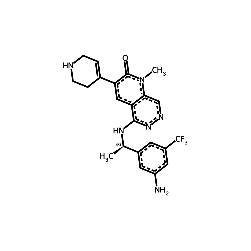 C[C@@H](Nc1nncc2c1cc(C1=CCNCC1)c(=O)n2C)c1cc(N)cc(C(F)(F)F)c1